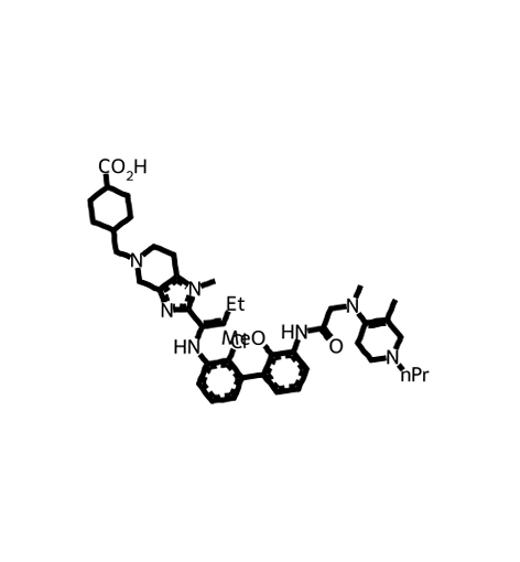 CC/C=C(/Nc1cccc(-c2cccc(NC(=O)CN(C)C3=C(C)CN(CCC)CC3)c2OC)c1Cl)c1nc2c(n1C)CCN(CC1CCC(C(=O)O)CC1)C2